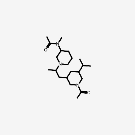 CC(=O)N1CC(CC(C)N2CCCC(N(C)C(C)=O)C2)CC(C(C)C)C1